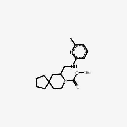 Cc1cccc(NCC2CC3(CCCC3)CCN2C(=O)OC(C)(C)C)n1